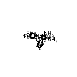 CNc1cc(N2CC3CCC(C2)O3)c(C(=O)N[C@H]2CC[C@H](C(F)(F)F)CC2)cc1N